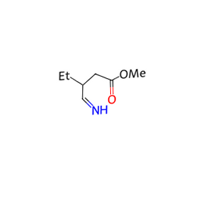 CCC(C=N)CC(=O)OC